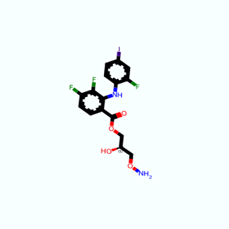 NOC[C@@H](O)COC(=O)c1ccc(F)c(F)c1Nc1ccc(I)cc1F